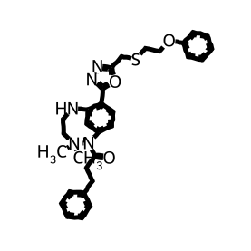 C[N+]1(C)CCNc2cc(ccc2-c2nnc(CSCCOc3ccccc3)o2)N1C(=O)CCc1ccccc1